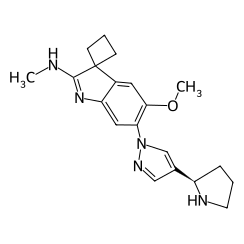 CNC1=Nc2cc(-n3cc([C@H]4CCCN4)cn3)c(OC)cc2C12CCC2